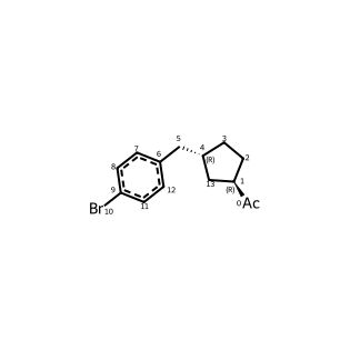 CC(=O)[C@@H]1CC[C@@H](Cc2ccc(Br)cc2)C1